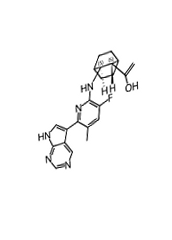 C=C(O)[C@H]1C2CCC(CC2)[C@@H]1Nc1nc(-c2c[nH]c3ncncc23)c(C)cc1F